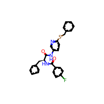 O=C(N[C@@H](Cc1ccccc1)C(=O)Nc1ccc(SCc2ccccc2)nc1)c1ccc(F)cc1